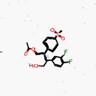 CC(=O)OC/C(=C(\CO)c1ccc(F)c(F)c1)c1ccc(S(C)(=O)=O)cc1